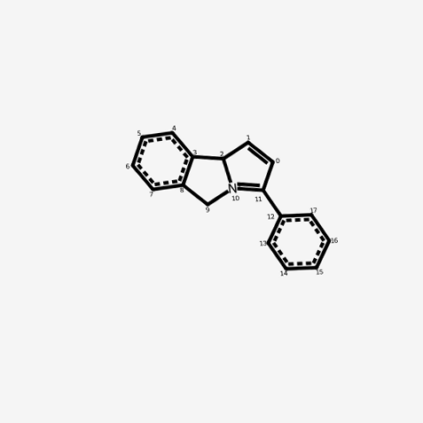 C1=CC2c3ccccc3C[N+]2=C1c1ccccc1